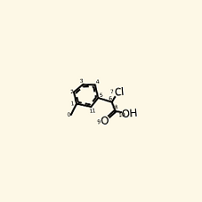 Cc1cccc(C(Cl)C(=O)O)c1